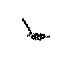 CCCCCCCCCC(=O)O[C@]1(O)CC[C@H]2[C@@H]3CCc4cc(O)ccc4[C@H]3CC[C@@]21C